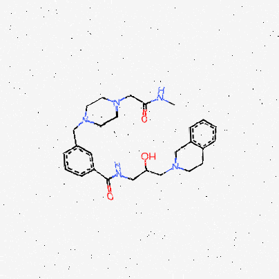 CNC(=O)CN1CCN(Cc2cccc(C(=O)NCC(O)CN3CCc4ccccc4C3)c2)CC1